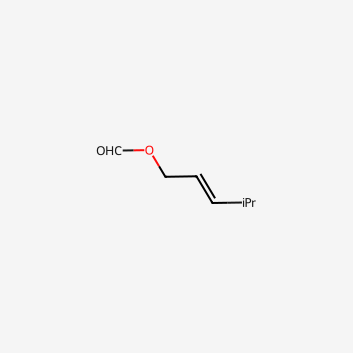 CC(C)C=CCOC=O